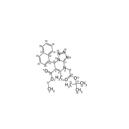 CCOC(=O)C1=C(C)N(CC(=O)OC(C)(C)C)c2nnnn2C1c1cccc2ccccc12